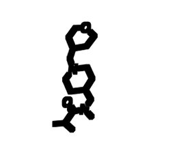 CC(C)C(=O)N(C)CC1CCN(CC2CCOCC2)CC1